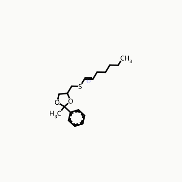 CCCCC/C=C/SCC1COC(C)(c2ccccc2)O1